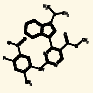 COC(=O)c1cnc(Nc2cc([N+](=O)[O-])c(F)cc2C)nc1-c1cn(N(C)C)c2ccccc12